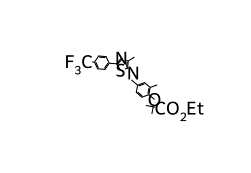 CCOC(=O)C(C)(C)Oc1ccc(C=Nc2sc(-c3ccc(C(F)(F)F)cc3)nc2C)cc1C